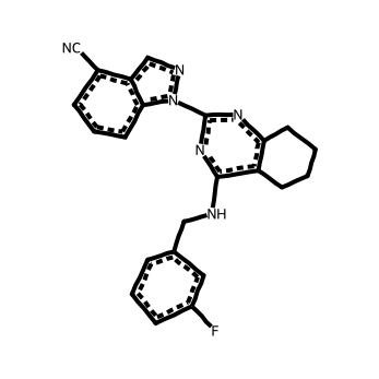 N#Cc1cccc2c1cnn2-c1nc2c(c(NCc3cccc(F)c3)n1)CCCC2